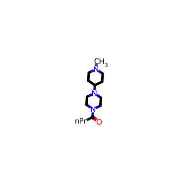 CCCC(=O)N1CCN(C2CCN(C)CC2)CC1